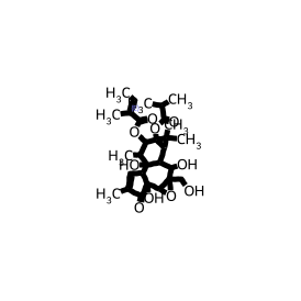 C/C=C(\C)C(=O)OC1C(C)C2(O)C(C(O)C3(CO)OC3C3(O)C(=O)C(C)=CC32)C2C(C)(C)C12OC(=O)C(C)C